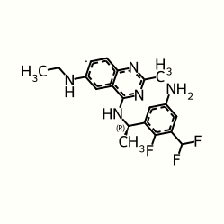 CCNc1[c]cc2nc(C)nc(N[C@H](C)c3cc(N)cc(C(F)F)c3F)c2c1